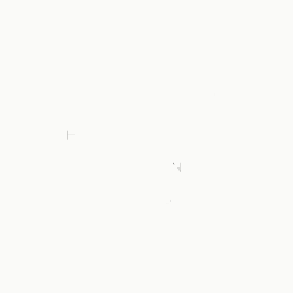 Cc1csnc1CO